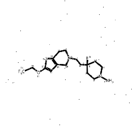 NN1CCC(F)(CCN2CCc3sc(OCC(F)(F)F)cc3C2)CC1